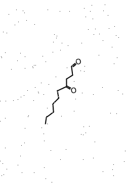 [CH2]CCCCCC(=O)CCC=O